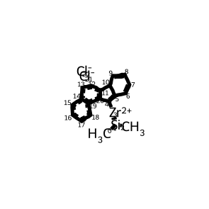 C[Si](C)=[Zr+2][C]1=C2C=CC=CC2c2ccc3ccccc3c21.[Cl-].[Cl-]